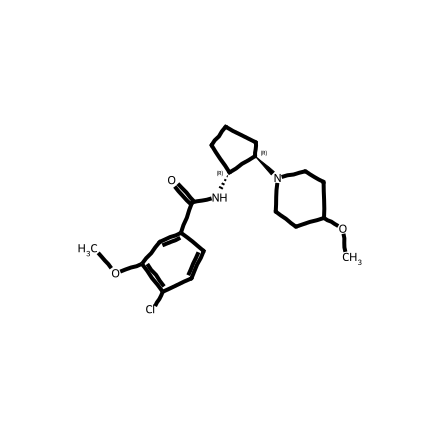 COc1cc(C(=O)N[C@@H]2CCC[C@H]2N2CCC(OC)CC2)ccc1Cl